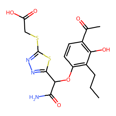 CCCc1c(OC(C(N)=O)c2nnc(SCC(=O)O)s2)ccc(C(C)=O)c1O